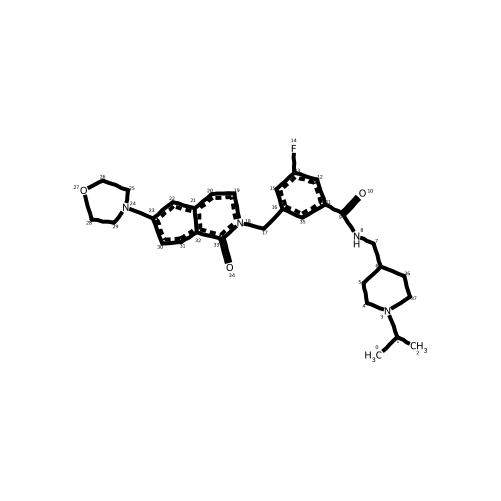 CC(C)N1CCC(CNC(=O)c2cc(F)cc(Cn3ccc4cc(N5CCOCC5)ccc4c3=O)c2)CC1